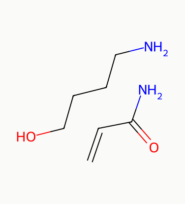 C=CC(N)=O.NCCCCO